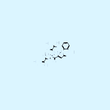 C=C(C)C(=O)O[N+](CC)(OC(=O)C(=C)C)C(=O)c1cc(=O)n(-c2ccccc2C)[nH]1